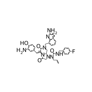 C=CCN(C(=O)NCc1ccc(F)cc1)N1CC(=O)N2C1CN(Cc1cccc3sc(N)nc13)C(=O)[C@@H]2Cc1ccc(O)c(N)c1